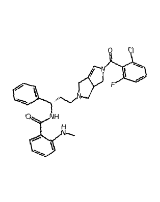 CNc1ccccc1C(=O)N[C@@H](CCN1CC2=CN(C(=O)c3c(F)cccc3Cl)CC2C1)c1ccccc1